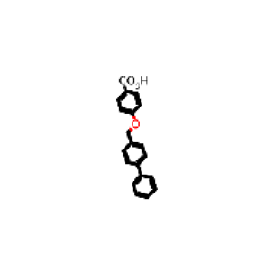 O=C(O)c1ccc(OCc2ccc(-c3ccccc3)cc2)cc1